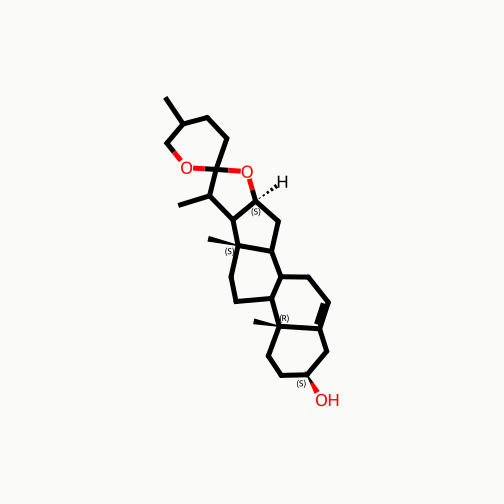 CC1CCC2(OC1)O[C@H]1CC3C4CC=C5C[C@@H](O)CC[C@]5(C)C4CC[C@]3(C)C1C2C